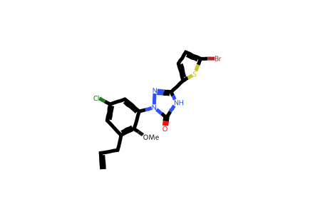 C=CCc1cc(Cl)cc(-n2nc(-c3ccc(Br)s3)[nH]c2=O)c1OC